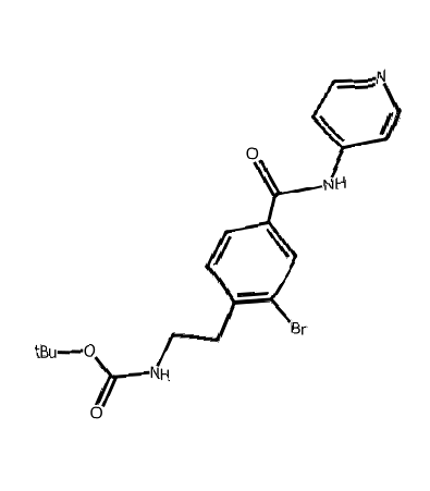 CC(C)(C)OC(=O)NCCc1ccc(C(=O)Nc2ccncc2)cc1Br